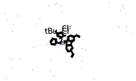 C=Cc1ccc2c(c1)-c1cc(C=C)ccc1[CH]2/[Zr+2](=[CH]/c1ccccc1)[C]1=CC(C(C)(C)C)=CC1C.[Cl-].[Cl-]